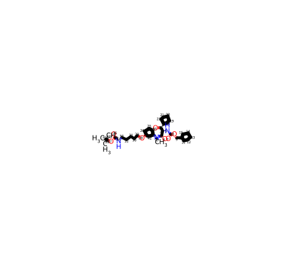 CN1C(=O)[C@@H](NC(=O)OCc2ccccc2)[C@@H](c2ccccc2)Oc2ccc(OCCCCCNC(=O)OC(C)(C)C)cc21